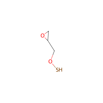 SOCC1CO1